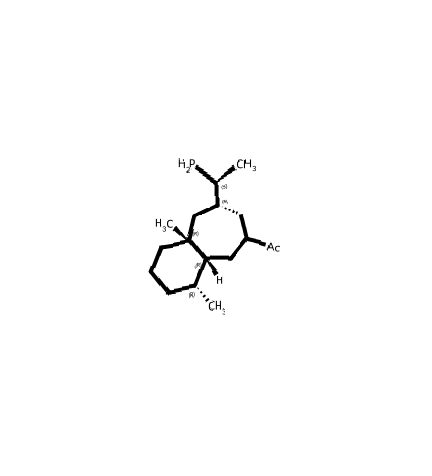 CC(=O)C1C[C@@H]([C@H](C)P)C[C@@]2(C)CCC[C@@H](C)[C@H]2C1